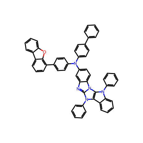 c1ccc(-c2ccc(N(c3ccc(-c4cccc5c4oc4ccccc45)cc3)c3ccc4c(c3)nc3n(-c5ccccc5)c5c6ccccc6n(-c6ccccc6)c5n43)cc2)cc1